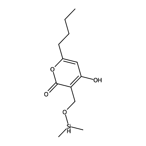 CCCCc1cc(O)c(CO[SiH](C)C)c(=O)o1